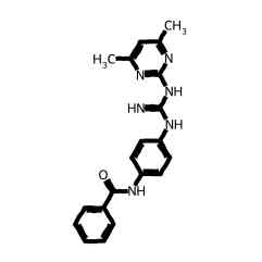 Cc1cc(C)nc(NC(=N)Nc2ccc(NC(=O)c3ccccc3)cc2)n1